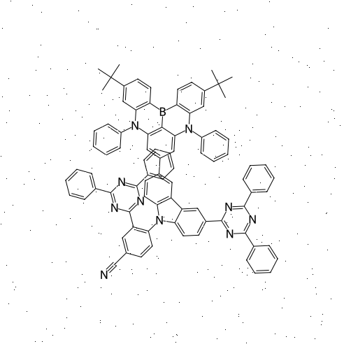 CC(C)(C)c1ccc2c(c1)N(c1ccccc1)c1cc(-c3ccc4c(c3)c3cc(-c5nc(-c6ccccc6)nc(-c6ccccc6)n5)ccc3n4-c3ccc(C#N)cc3-c3nc(-c4ccccc4)nc(-c4ccccc4)n3)cc3c1B2c1ccc(C(C)(C)C)cc1N3c1ccccc1